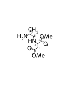 COC(=O)C[C@H](NC[C@H](C)N)C(=O)OC